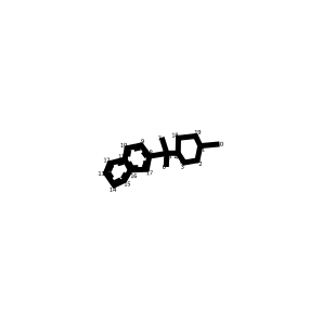 CC1C[CH]C(C(C)(C)c2ccc3ccccc3c2)CC1